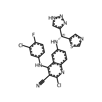 N#Cc1c(Cl)nc2ccc(N[C@H](c3c[nH]nn3)c3cncs3)cc2c1Nc1ccc(F)c(Cl)c1